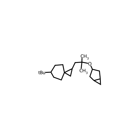 CC(C)(CC1CC12CCC(C(C)(C)C)CC2)OC1CC2CC2C1